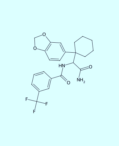 NC(=O)C(NC(=O)c1cccc(C(F)(F)F)c1)C1(c2ccc3c(c2)OCO3)CCCCC1